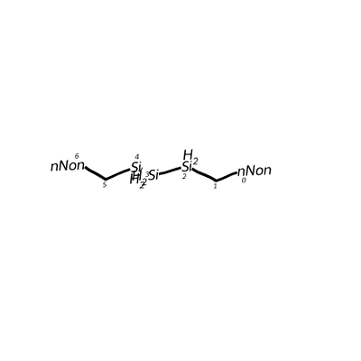 CCCCCCCCCC[SiH2][SiH2][SiH2]CCCCCCCCCC